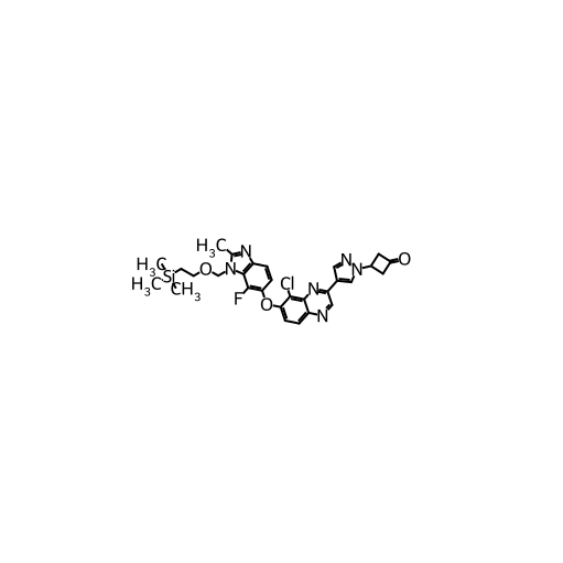 Cc1nc2ccc(Oc3ccc4ncc(-c5cnn(C6CC(=O)C6)c5)nc4c3Cl)c(F)c2n1COCC[Si](C)(C)C